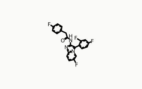 O=C(Cc1ccc(F)cc1)Nc1nc2ccc(F)cn2c1-c1ccc(F)cc1F